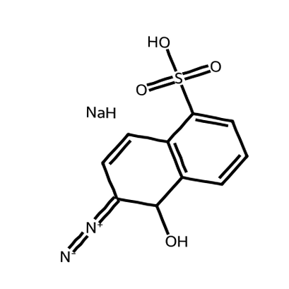 [N-]=[N+]=C1C=Cc2c(cccc2S(=O)(=O)O)C1O.[NaH]